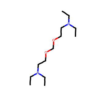 CCN(CC)CCOCOCCN(CC)CC